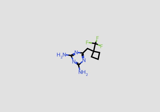 Nc1nc(N)nc(CC2(C(F)(F)F)CCC2)n1